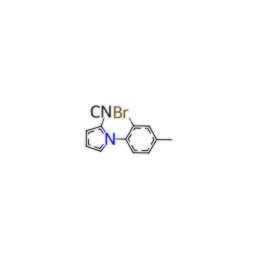 Cc1ccc(-n2cccc2C#N)c(Br)c1